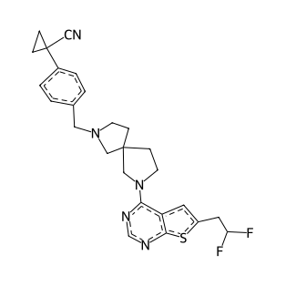 N#CC1(c2ccc(CN3CCC4(CCN(c5ncnc6sc(CC(F)F)cc56)C4)C3)cc2)CC1